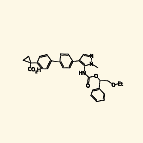 CCOCC(OC(=O)Nc1c(-c2ccc(-c3ccc(C4(C(=O)O)CC4)cc3)cc2)cnn1C)c1ccccc1